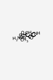 CN(N)S(=O)(=O)C(=O)C(O)CC1COC2(CCNCC2)C1